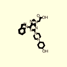 O=C(O)Cn1cnc2c(-n3ncc4ccccc43)nc(N3CCN([C@H]4CC[C@@H](O)CC4)CC3)nc21